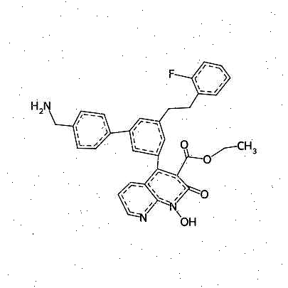 CCOC(=O)c1c(-c2cc(CCc3ccccc3F)cc(-c3ccc(CN)cc3)c2)c2cccnc2n(O)c1=O